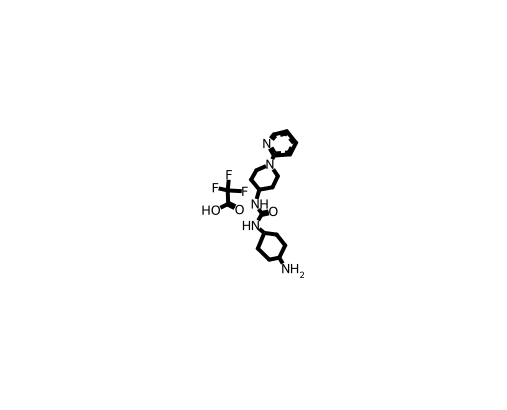 NC1CCC(NC(=O)NC2CCN(c3ccccn3)CC2)CC1.O=C(O)C(F)(F)F